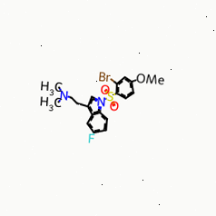 COc1ccc(S(=O)(=O)n2cc(CCN(C)C)c3cc(F)ccc32)c(Br)c1